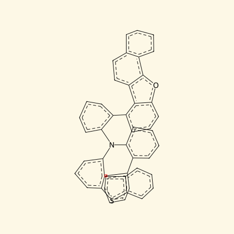 c1ccc(-c2ccccc2N(c2ccccc2-c2cccc3oc4c5ccccc5ccc4c23)c2cccc3sc4ccccc4c23)cc1